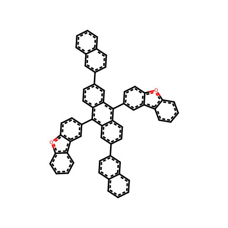 c1ccc2cc(-c3ccc4c(-c5ccc6oc7ccccc7c6c5)c5cc(-c6ccc7ccccc7c6)ccc5c(-c5ccc6oc7ccccc7c6c5)c4c3)ccc2c1